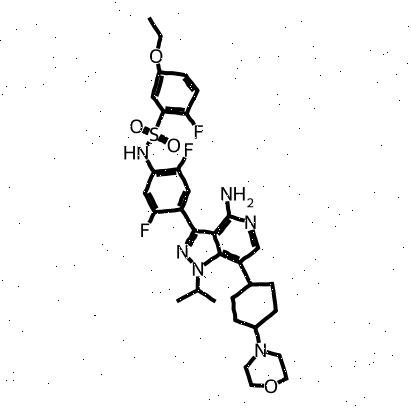 CCOc1ccc(F)c(S(=O)(=O)Nc2cc(F)c(-c3nn(C(C)C)c4c(C5CCC(N6CCOCC6)CC5)cnc(N)c34)cc2F)c1